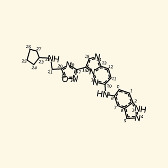 c1cc2[nH]ncc2cc1Nc1ccc2ncc(-c3noc(CNC4CCCC4)n3)n2n1